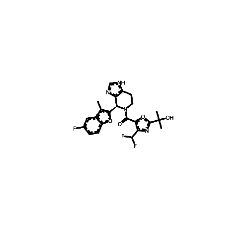 Cc1c([C@H]2c3nc[nH]c3CCN2C(=O)c2oc(C(C)(C)O)nc2C(F)F)oc2ccc(F)cc12